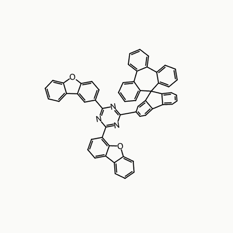 c1ccc2c(c1)-c1ccccc1C1(c3ccccc3-2)c2ccccc2-c2ccc(-c3nc(-c4ccc5oc6ccccc6c5c4)nc(-c4cccc5c4oc4ccccc45)n3)cc21